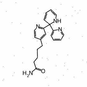 NC(=O)CCCCc1ccnc(C2(c3ccccn3)C=CC=CN2)c1